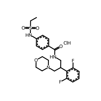 CCS(=O)(=O)Nc1ccc(C(=O)NCC(CN2CCOCC2)c2c(F)cccc2F)cc1.Cl